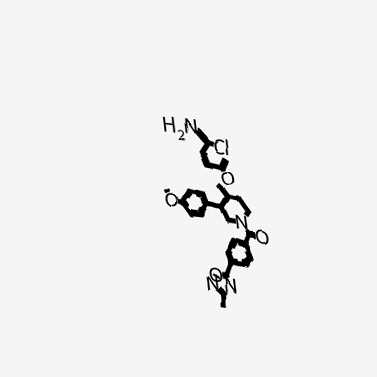 C=C(/C=C\C(Cl)=C/N)OCC1CCN(C(=O)c2ccc(-c3nc(C)no3)cc2)CC1c1ccc(OC)cc1